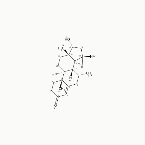 C[C@@H]1CC2=CC(=O)CC[C@]2(C)[C@H]2CC[C@]3(C)[C@H](O)C[C@@H]4C[C@@]43[C@H]12